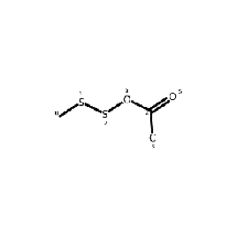 CSSOC(=O)Cl